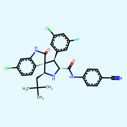 CC(C)(C)C[C@@H]1N[C@@H](C(=O)Nc2ccc(C#N)cc2)[C@H](c2cc(F)cc(Cl)c2)[C@]12C(=O)Nc1cc(Cl)ccc12